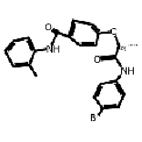 Cc1ccccc1NC(=O)c1ccc(O[C@H](C)C(=O)Nc2ccc(Br)cc2)cc1